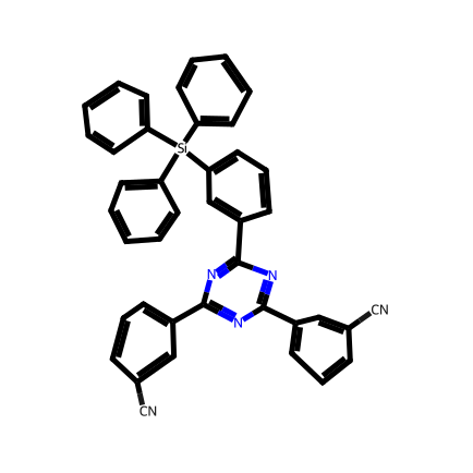 N#Cc1cccc(-c2nc(-c3cccc(C#N)c3)nc(-c3cccc([Si](c4ccccc4)(c4ccccc4)c4ccccc4)c3)n2)c1